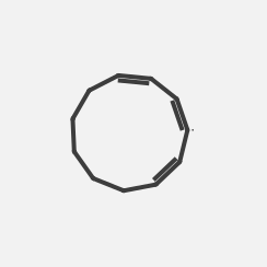 [C]1=CC=CCCCCCC=C1